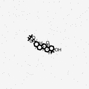 CC1(C)[C@@H](O)CC[C@]2(C)[C@H]3C(=O)C=C4[C@@H]5C[C@](C)(B6OC(C)(C)C(C)(C)O6)CC[C@]5(C)CC[C@@]4(C)[C@]3(C)CC[C@@H]12